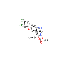 COCc1c(OC(=O)OC(C)C)ncc2[nH]c3ccc(Oc4ccc(Cl)c(Cl)c4)cc3c12